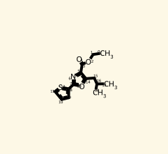 CCOC(=O)c1nc(-c2cccs2)oc1CC(C)C